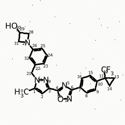 Cc1cc(-c2nc(-c3ccc(C4(C(F)(F)F)CC4)cc3)no2)nn1Cc1cccc(N2CC(O)C2)c1